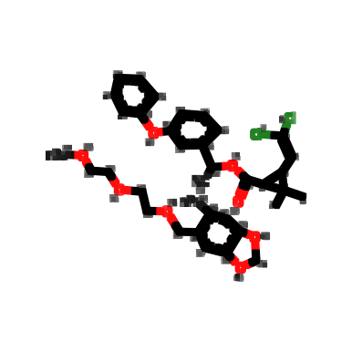 CC1(C)C(C=C(Cl)Cl)C1C(=O)OC(C#N)c1cccc(Oc2ccccc2)c1.CCCCOCCOCCOCc1cc2c(cc1CCC)OCO2